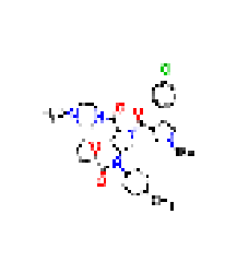 CC1CCC(N(C(=O)[C@@H]2CCCO2)[C@H]2C[C@@H](C(=O)N3CCN(C)CC3)N(C(=O)[C@@H]3CN(C(C)(C)C)C[C@H]3c3ccc(Cl)cc3)C2)CC1